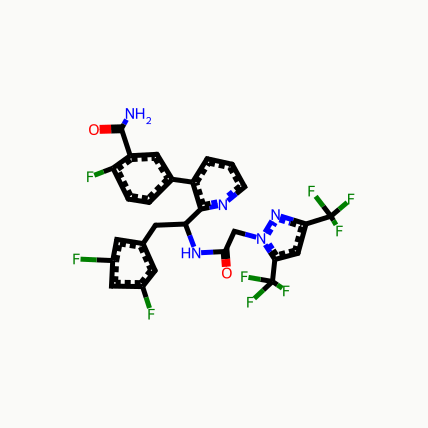 NC(=O)c1cc(-c2cccnc2C(Cc2cc(F)cc(F)c2)NC(=O)Cn2nc(C(F)(F)F)cc2C(F)(F)F)ccc1F